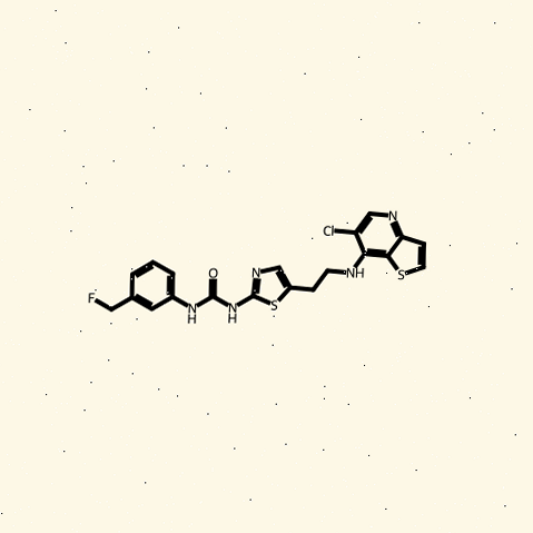 O=C(Nc1cccc(CF)c1)Nc1ncc(CCNc2c(Cl)cnc3ccsc23)s1